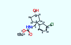 CC(C)(C)OC(=O)NC[C@]1(C2C=CC=C(Cl)C2)CC[C@@H](O)CC1